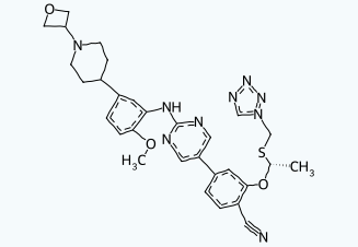 COc1ccc(C2CCN(C3COC3)CC2)cc1Nc1ncc(-c2ccc(C#N)c(O[C@@H](C)SCn3cnnn3)c2)cn1